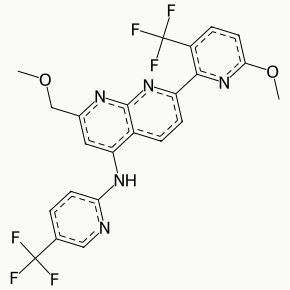 COCc1cc(Nc2ccc(C(F)(F)F)cn2)c2ccc(-c3nc(OC)ccc3C(F)(F)F)nc2n1